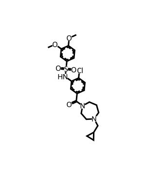 COc1ccc(S(=O)(=O)Nc2cc(C(=O)N3CCCN(CC4CC4)CC3)ccc2Cl)cc1OC